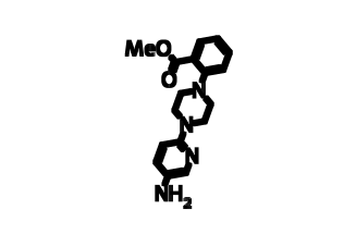 COC(=O)c1ccccc1N1CCN(c2ccc(N)cn2)CC1